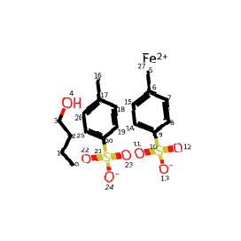 CCCCO.Cc1ccc(S(=O)(=O)[O-])cc1.Cc1ccc(S(=O)(=O)[O-])cc1.[Fe+2]